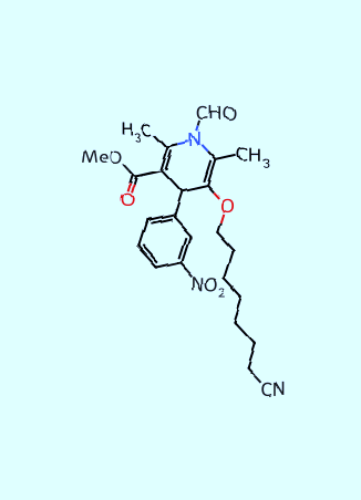 COC(=O)C1=C(C)N(C=O)C(C)=C(OCCCCCCCC#N)C1c1cccc([N+](=O)[O-])c1